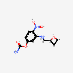 NC(=O)Oc1ccc([N+](=O)[O-])c(NC[C@@H]2CCO2)c1